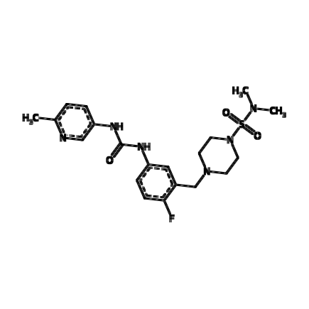 Cc1ccc(NC(=O)Nc2ccc(F)c(CN3CCN(S(=O)(=O)N(C)C)CC3)c2)cn1